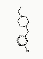 CCN1CCN(Cc2cncc(Br)c2)CC1